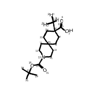 [2H]C([2H])([2H])C1(C(=O)O)CCC2(CCN(C(=O)OC(C)(C)C)CC2)CC1